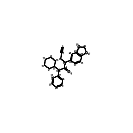 C#CCC(C(=O)N(c1ccccn1)C1CCCCC1)c1ccc2c(c1)OCO2